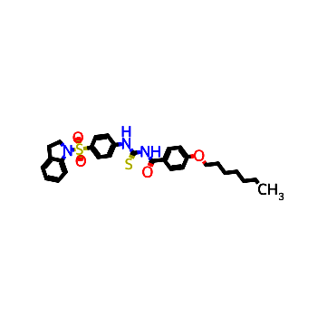 CCCCCCCOc1ccc(C(=O)NC(=S)Nc2ccc(S(=O)(=O)N3CCc4ccccc43)cc2)cc1